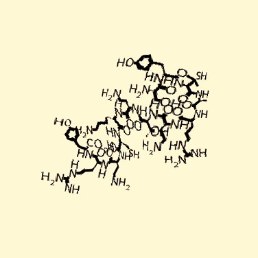 C[C@H](NC(=O)[C@@H](NC(=O)[C@H](Cc1ccc(O)cc1)NC(=O)[C@@H](N)[C@@H](C)O)C(C)(C)S)C(=O)N[C@@H](CCCNC(=N)N)C(=O)N[C@@H](CCN)C(=O)N[C@H](C(=O)N[C@H](CCN)C(=O)N[C@@H](CCCCN)C(=O)N[C@@H](CS)C(=O)N[C@@H](CCN)C(=O)N[C@@H](CCCNC(=N)N)C(=O)N[C@@H](Cc1ccc(O)cc1)C(=O)O)[C@@H](C)O